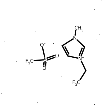 Cn1cc[n+](CC(F)(F)F)c1.O=S(=O)([O-])C(F)(F)F